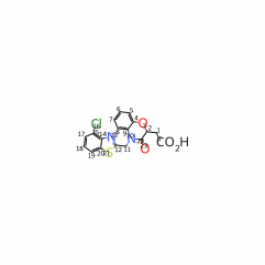 O=C(O)CC1Oc2ccccc2N(Cc2nc3c(Cl)cccc3s2)C1=O